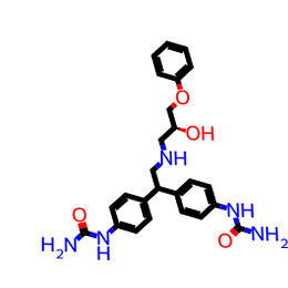 NC(=O)Nc1ccc(C(CNC[C@H](O)COc2ccccc2)c2ccc(NC(N)=O)cc2)cc1